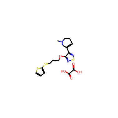 CN1CCC=C(c2nsnc2OCCCSc2cccs2)C1.O=C(O)C(=O)O